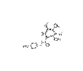 COc1c(O)c2c(c(OC)c1OC)OCC(Cc1ccc(O)cc1)C2=O